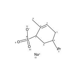 CC1=CCC(C(C)C)CC1S(=O)(=O)[O-].[Na+]